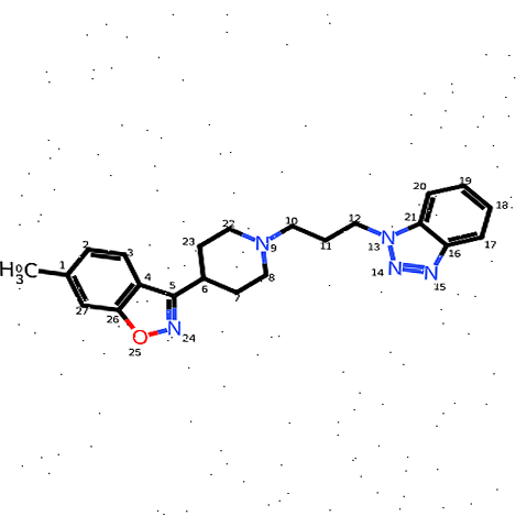 Cc1ccc2c(C3CCN(CCCn4nnc5ccccc54)CC3)noc2c1